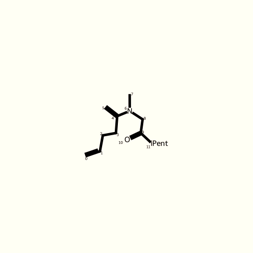 C=CCCC(=C)N(C)CC(=O)C(C)CCC